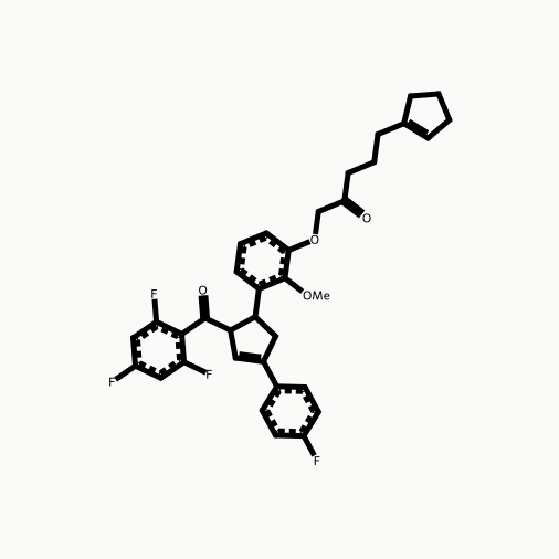 COc1c(OCC(=O)CCCC2=CCCC2)cccc1C1CC(c2ccc(F)cc2)=CC1C(=O)c1c(F)cc(F)cc1F